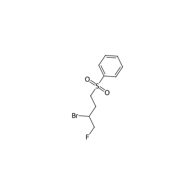 O=S(=O)(CCC(Br)CF)c1ccccc1